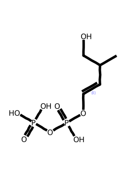 CC(/C=C/OP(=O)(O)OP(=O)(O)O)CO